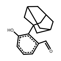 O=Cc1cccc(O)c1C12CC3CC(CC(C3)C1)C2